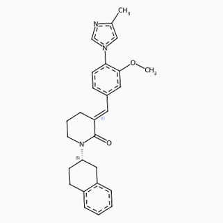 COc1cc(/C=C2\CCCN([C@H]3CCc4ccccc4C3)C2=O)ccc1-n1cnc(C)c1